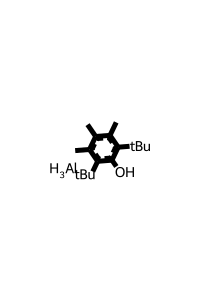 Cc1c(C)c(C(C)(C)C)c(O)c(C(C)(C)C)c1C.[AlH3]